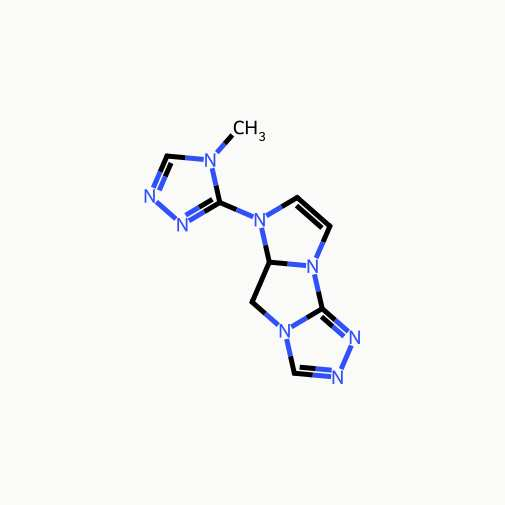 Cn1cnnc1N1C=CN2c3nncn3CC12